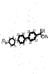 C=C[C@H]1CC[C@H](c2ccc(-c3ccc(C(CC)OC)cc3)cc2)CC1